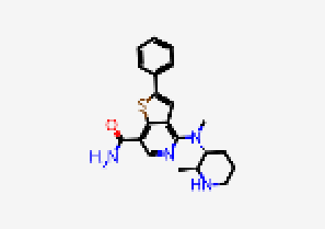 C[C@@H]1NCCC[C@H]1N(C)c1ncc(C(N)=O)c2sc(-c3ccccc3)cc12